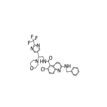 O=C(NCC(c1cnc(C(F)(F)F)nc1)N1CCOCC1)c1c(Cl)ccc2nc(NCc3ccccc3)ccc12